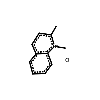 Cc1ccc2ccccc2[n+]1C.[Cl-]